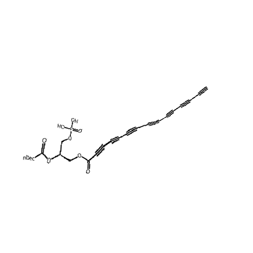 C#CC#CC#CC#CC#CC#CC#CC(=O)OC[C@H](COP(=O)(O)O)OC(=O)CCCCCCCCCC